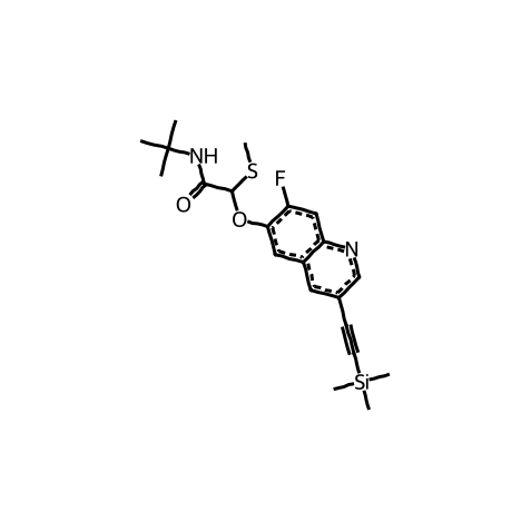 CSC(Oc1cc2cc(C#C[Si](C)(C)C)cnc2cc1F)C(=O)NC(C)(C)C